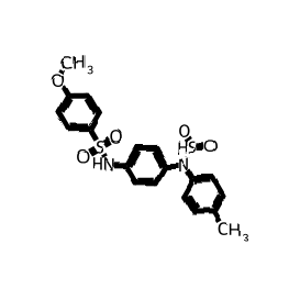 COc1ccc(S(=O)(=O)Nc2ccc(N(c3ccc(C)cc3)[SH](=O)=O)cc2)cc1